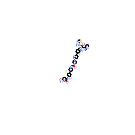 O=C1CC[C@H](Nc2ccc(C3CCN(CC(=O)N4CCN(c5ccc(-c6ccc7cn(C(C(=O)Nc8nccs8)c8ncn9c8CCC9)nc7c6F)cn5)CC4)CC3)c(F)c2)C(=O)N1